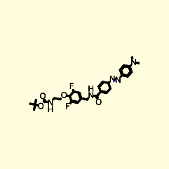 CN(C)c1ccc(/N=N/C2C=CC(C(=O)NCC3=CC(F)C(OCCNC(=O)OC(C)(C)C)C(F)=C3)=CC2)cc1